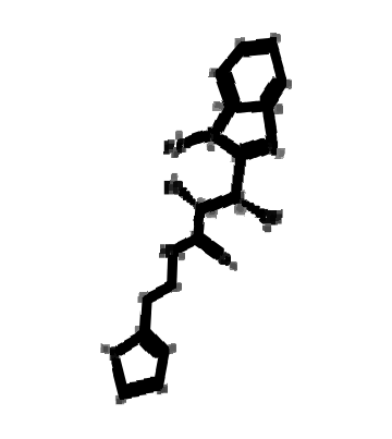 Cn1c([C@H](O)[C@@H](O)C(=O)NCCc2cccs2)nc2ccccc21